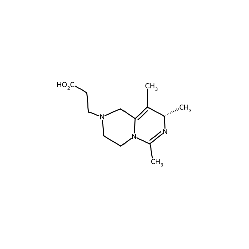 CC1=N[C@@H](C)C(C)=C2CN(CCC(=O)O)CCN12